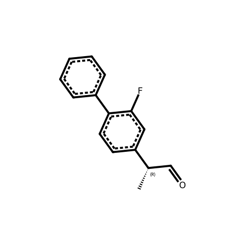 C[C@@H](C=O)c1ccc(-c2ccccc2)c(F)c1